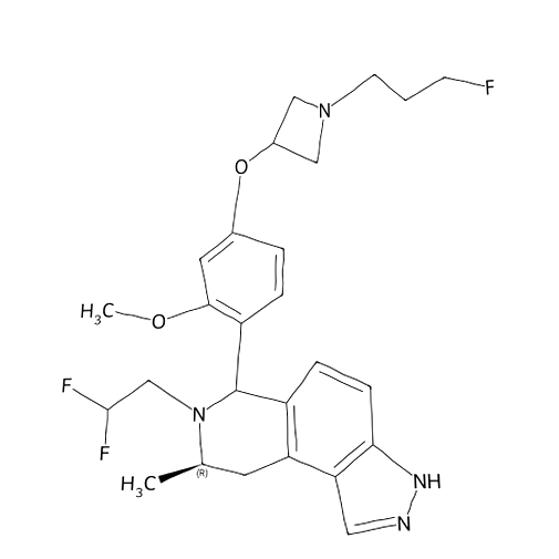 COc1cc(OC2CN(CCCF)C2)ccc1C1c2ccc3[nH]ncc3c2C[C@@H](C)N1CC(F)F